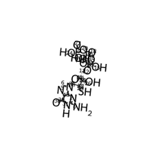 Nc1nc2c(ncn2[C@@H]2O[C@H](COP(=O)(O)OP(=O)(O)OP(=O)(O)O)[C@@H](O)[C@H]2S)c(=O)[nH]1